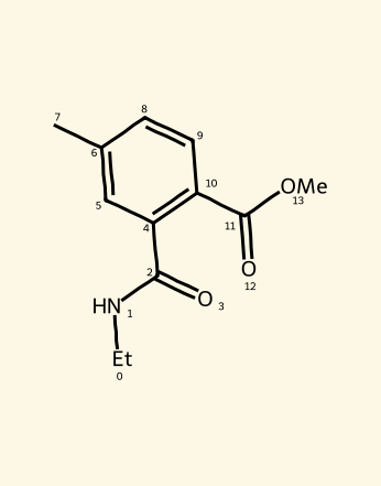 CCNC(=O)c1cc(C)ccc1C(=O)OC